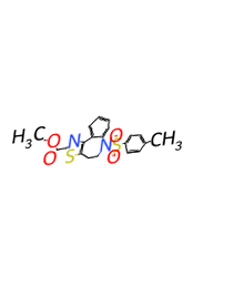 CCOC(=O)c1nc2c(s1)CCN(S(=O)(=O)c1ccc(C)cc1)c1ccccc1-2